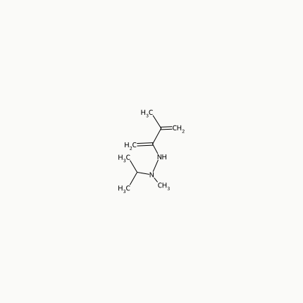 C=C(C)C(=C)NN(C)C(C)C